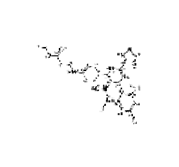 CCOC(=O)CCNC1=CC[C@H](C2=C(C(=O)OC)C(c3ccc(F)cc3Cl)N=C(c3nccs3)N2)CC1